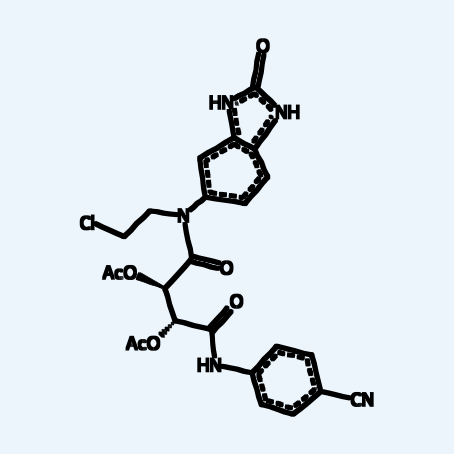 CC(=O)O[C@@H](C(=O)Nc1ccc(C#N)cc1)[C@@H](OC(C)=O)C(=O)N(CCCl)c1ccc2[nH]c(=O)[nH]c2c1